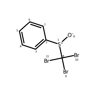 [O-][S+](c1ccccc1)C(Br)(Br)Br